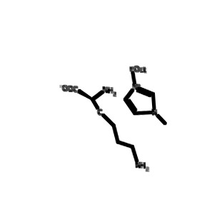 CCCCCCCC[n+]1ccn(C)c1.NCCCC[C@H](N)C(=O)[O-]